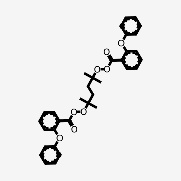 CC(C)(CCC(C)(C)OOC(=O)c1ccccc1Oc1ccccc1)OOC(=O)c1ccccc1Oc1ccccc1